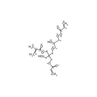 C=CC(=O)OCC(CO)(COCC(O)COOC(=O)C=C)COC(=O)C(=C)C